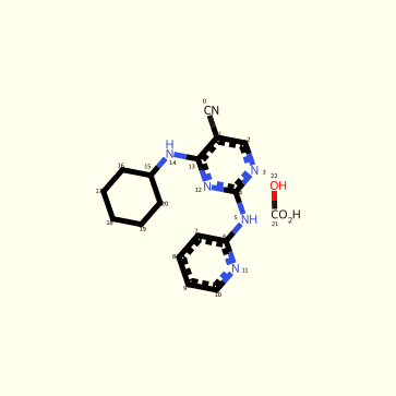 N#Cc1cnc(Nc2ccccn2)nc1NC1CCCCC1.O=C(O)O